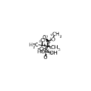 COC(=O)C(C)(C(C)(C)C)P(=O)(O)O